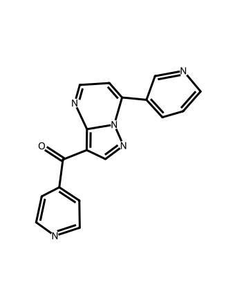 O=C(c1ccncc1)c1cnn2c(-c3cccnc3)ccnc12